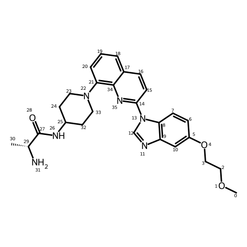 COCCOc1ccc2c(c1)ncn2-c1ccc2cccc(N3CCC(NC(=O)[C@@H](C)N)CC3)c2n1